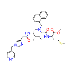 CC[C@H](C)[C@@H](CN(CC(=O)N[C@@H](CCSC)C(=O)OC)Cc1cccc2ccccc12)NC(=O)Cc1cn(Cc2ccncc2)cn1